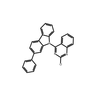 Clc1nc(-n2c3ccccc3c3ccc(-c4ccccc4)cc32)c2ccccc2n1